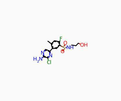 Cc1cc(F)c(S(=O)(=O)NCCCO)cc1-c1cnc(N)c(Cl)n1